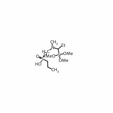 CCC(N(C)C)[Si](OC)(OC)OC.CCCS(=O)(=O)O